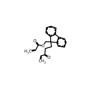 C=CC(=O)CCC1(COC(=O)C=C)c2ccccc2-c2ccccc21